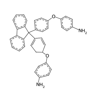 Nc1ccc(Oc2ccc(C3(C4=CCC(Oc5ccc(N)cc5)C=C4)c4ccccc4-c4ccccc43)cc2)cc1